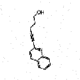 OCCCC#Cc1ccc2ccccc2n1